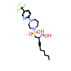 CCCCCC#CC(CS(=O)(=O)N1CCCN(c2ccc(C(F)(F)F)cn2)CC1)NO